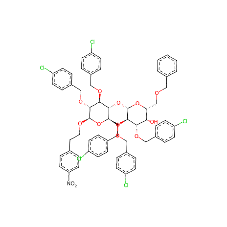 O=[N+]([O-])c1ccc(CCO[C@@H]2O[C@H](COCc3ccc(Cl)cc3)[C@@H](O[C@@H]3O[C@H](COCc4ccccc4)[C@H](O)[C@H](OCc4ccc(Cl)cc4)[C@H]3OCc3ccc(Cl)cc3)[C@H](OCc3ccc(Cl)cc3)[C@H]2OCc2ccc(Cl)cc2)cc1